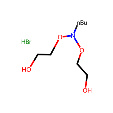 Br.CCCCN(OCCO)OCCO